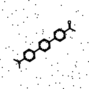 CC(=O)c1ccc(-c2ccc(-c3ccc(N(C)C)cc3)cc2)cc1